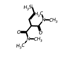 CN(C)C(=O)C(C=C[SiH3])C(=O)N(C)C